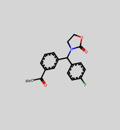 COC(=O)c1cccc(C(c2ccc(F)cc2)N2CCOC2=O)c1